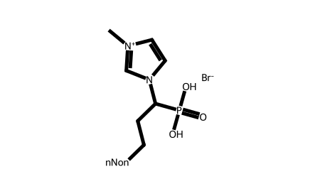 CCCCCCCCCCCC(n1cc[n+](C)c1)P(=O)(O)O.[Br-]